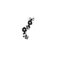 COC(=O)c1ccc(-c2cnn(-c3cccc(C(C)Sc4nncn4C)c3)n2)cc1